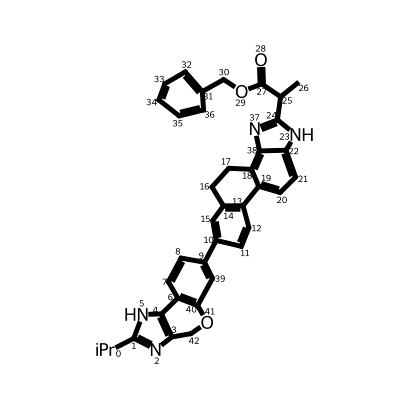 CC(C)c1nc2c([nH]1)-c1ccc(-c3ccc4c(c3)CCc3c-4ccc4[nH]c(C(C)C(=O)OCc5ccccc5)nc34)cc1OC2